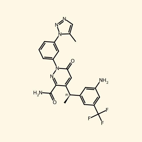 Cc1cnnn1-c1cccc(-n2nc(C(N)=O)c([C@H](C)c3cc(N)cc(C(F)(F)F)c3)cc2=O)c1